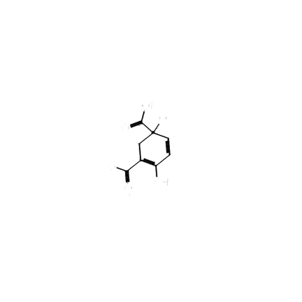 CC1=C(C(=O)O)CC(O)(C(=O)O)C=C1